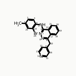 Cc1ccc(Nc2nnc(Cc3ccncc3)c3ccccc23)c(Br)c1